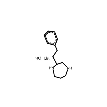 Cl.Cl.c1ccc(CCC2CNCCCN2)cc1